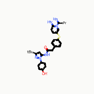 CC(C)C(=N)n1cc(Sc2ccc(CC(=O)Nc3cc(C(C)(C)C)nn3-c3ccc(O)cc3)cc2)ccc1=N